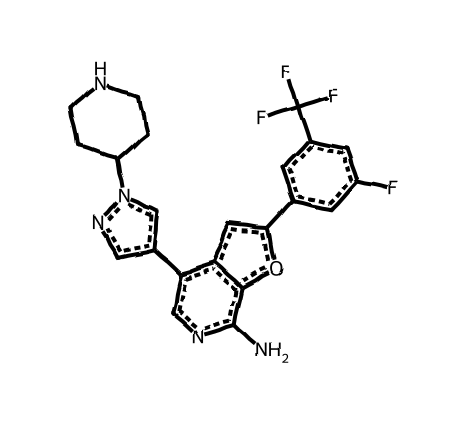 Nc1ncc(-c2cnn(C3CCNCC3)c2)c2cc(-c3cc(F)cc(C(F)(F)F)c3)oc12